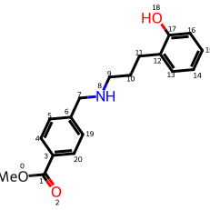 COC(=O)c1ccc(CNCCCc2ccccc2O)cc1